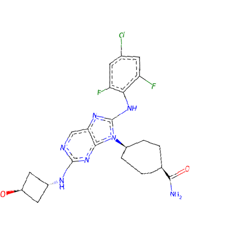 NC(=O)[C@H]1CC[C@@H](n2c(Nc3c(F)cc(Cl)cc3F)nc3cnc(N[C@H]4C[C@H](O)C4)nc32)CC1